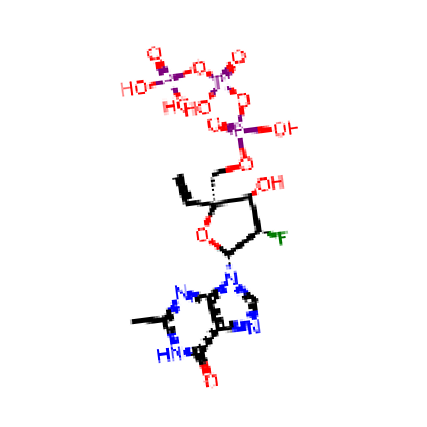 C=C[C@]1(COP(=O)(O)OP(=O)(O)OP(=O)(O)O)O[C@@H](n2cnc3c(=O)[nH]c(C)nc32)[C@H](F)[C@@H]1O